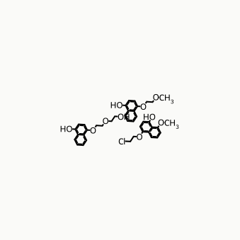 COCCOc1ccc(O)c2ccccc12.COc1cccc2c(OCCCl)ccc(O)c12.OCCOCCOc1ccc(O)c2ccccc12